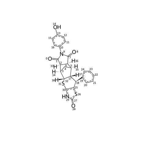 O=C1[C@@H]2[C@H]3C[C@@H]([C@@H]2C(=O)N1c1ccc(O)cc1)[C@@H]1[C@@H](c2ccccc2)c2sc(=O)[nH]c2S[C@H]31